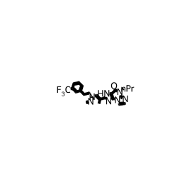 C=NN(/C=C(\C)c1nc2c([nH]1)c(=O)n(CCC)c1nccn21)CCc1cccc(C(F)(F)F)c1